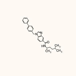 CC(C)CCC(C)NC(=O)c1ccc2c(c1)ncn2Cc1ccc(-c2ccccc2)cc1